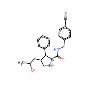 CC(O)CC1CN[C@H](C(=O)NCc2ccc(C#N)cc2)C1c1ccccc1